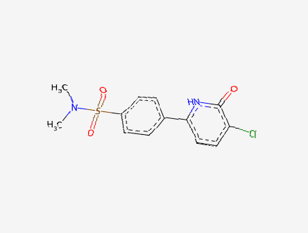 CN(C)S(=O)(=O)c1ccc(-c2ccc(Cl)c(=O)[nH]2)cc1